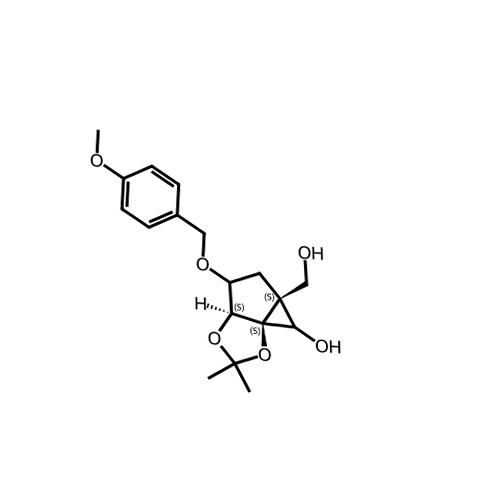 COc1ccc(COC2C[C@]3(CO)C(O)[C@@]34OC(C)(C)O[C@@H]24)cc1